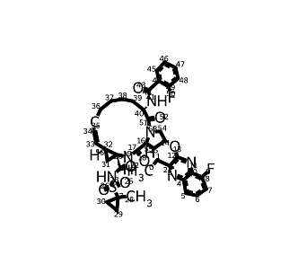 CCc1nc2cccc(F)c2nc1O[C@@H]1C[C@H]2C(=O)N[C@]3(C(=O)NS(=O)(=O)C4(C)CC4)C[C@H]3/C=C\CCCCC[C@H](NC(=O)c3ccccc3F)C(=O)N2C1